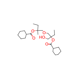 CCC(C)(COCC(CC)(CO)OC(=O)C1CCCCC1)OC(=O)C1CCCCC1